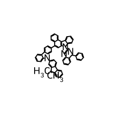 CC1(C)c2ccccc2-c2ccc(-n3c4ccccc4c4ccc(-c5cc6c(c7ccccc57)c5ccccc5n6-c5nc(-c6ccccc6)c6ccccc6n5)cc43)cc21